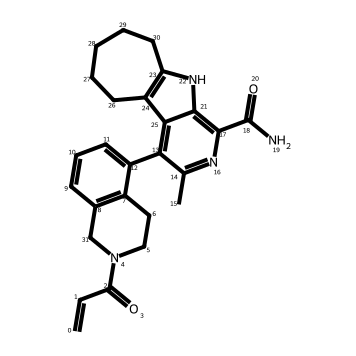 C=CC(=O)N1CCc2c(cccc2-c2c(C)nc(C(N)=O)c3[nH]c4c(c23)CCCCC4)C1